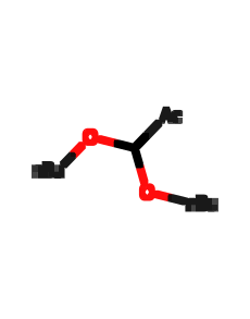 CCCCOC(OCCCC)C(C)=O